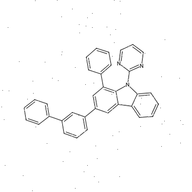 c1ccc(-c2cccc(-c3cc(-c4ccccc4)c4c(c3)c3ccccc3n4-c3ncccn3)c2)cc1